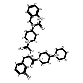 O=C(C[C@@H](Cc1cccc(Br)c1)C(=O)N1CCC(N2CCCCC2)CC1)N1CCC(N2Cc3ccccc3NC2=O)CC1